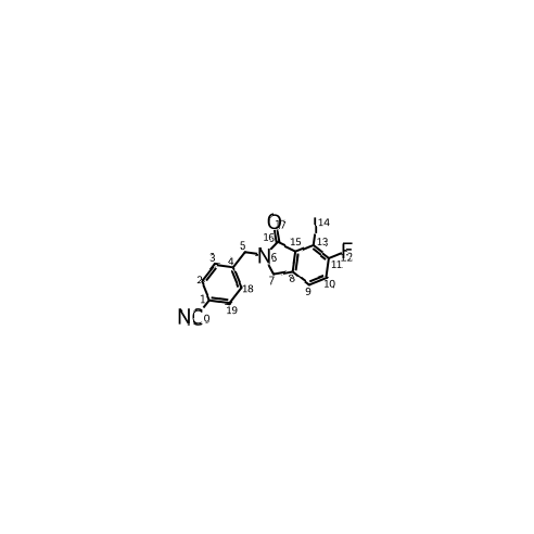 N#Cc1ccc(CN2Cc3ccc(F)c(I)c3C2=O)cc1